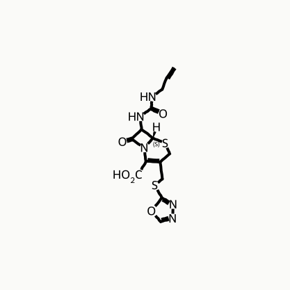 C=CCNC(=O)NC1C(=O)N2C(C(=O)O)=C(CSc3nnco3)CS[C@@H]12